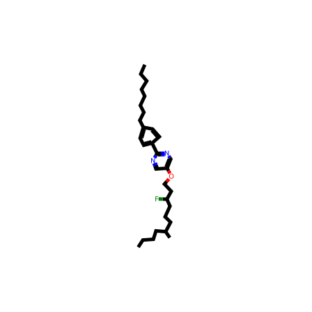 CCCCCCCCc1ccc(-c2ncc(OCCC(F)CCCC(C)CCCC)cn2)cc1